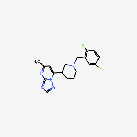 Cc1cc(C2CCCN(Cc3cc(F)ccc3F)C2)n2ncnc2n1